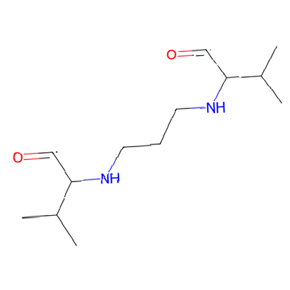 CC(C)C([C]=O)NCCCNC([C]=O)C(C)C